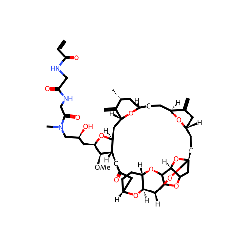 C=CC(=O)NCC(=O)NCC(=O)N(C)C[C@@H](O)C[C@H]1O[C@H]2C[C@H]3O[C@@H](CC[C@@H]4O[C@@H](CC[C@@]56CC7OC8C(O[C@H]9CC[C@H](CC(=O)C[C@@H]2[C@H]1OC)O[C@@H]9[C@@H]8O5)[C@H]7O6)CC4=C)C[C@@H](C)C3=C